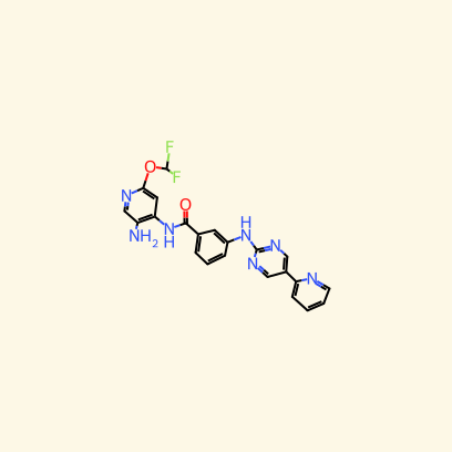 Nc1cnc(OC(F)F)cc1NC(=O)c1cccc(Nc2ncc(-c3ccccn3)cn2)c1